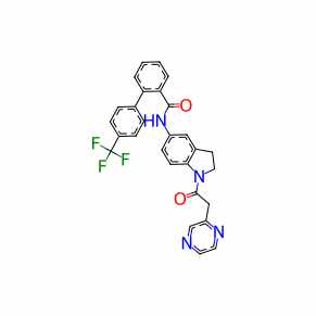 O=C(Nc1ccc2c(c1)CCN2C(=O)Cc1cnccn1)c1ccccc1-c1ccc(C(F)(F)F)cc1